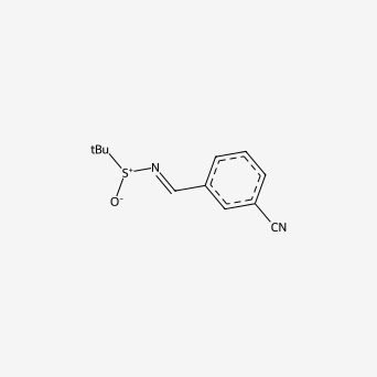 CC(C)(C)[S+]([O-])N=Cc1cccc(C#N)c1